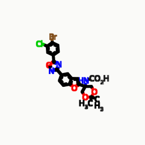 CC1(C)OCC(NC(=O)O)(c2cc3cc(-c4noc(-c5ccc(Br)c(Cl)c5)n4)ccc3o2)CO1